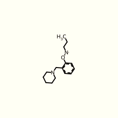 CCC[N]Oc1ccccc1CN1CCCCC1